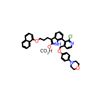 O=C(O)Oc1[nH]c2c(-c3c(COc4ccc(N5CCOCC5)cc4)ccnc3Cl)cccc2c1CCCOc1cccc2ccccc12